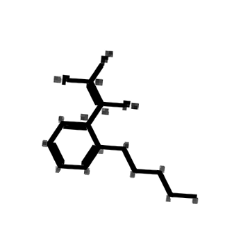 CCCCCc1ccccc1C(F)=C(F)F